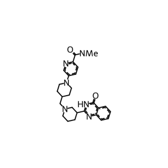 CNC(=O)c1ccc(N2CCC(CN3CCCC(c4nc5ccccc5c(=O)[nH]4)C3)CC2)cn1